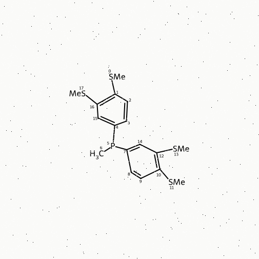 CSc1ccc(P(C)c2ccc(SC)c(SC)c2)cc1SC